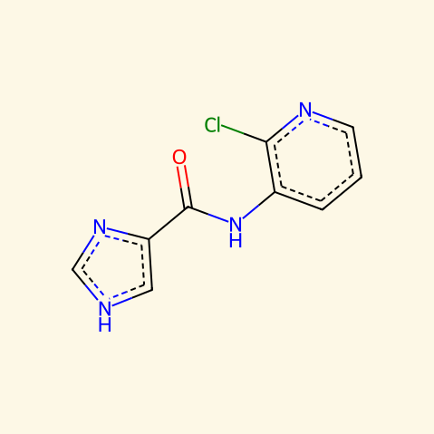 O=C(Nc1cccnc1Cl)c1c[nH]cn1